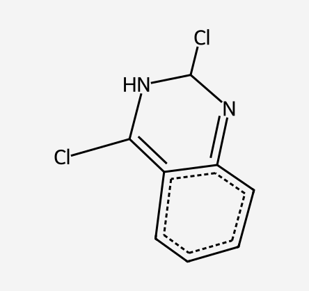 ClC1=c2ccccc2=NC(Cl)N1